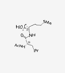 CSCC[C@H](NC(=O)[C@H](CC(C)C)NC(C)=O)C(=O)O